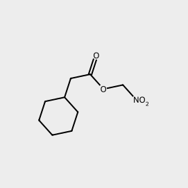 O=C(CC1CCCCC1)OC[N+](=O)[O-]